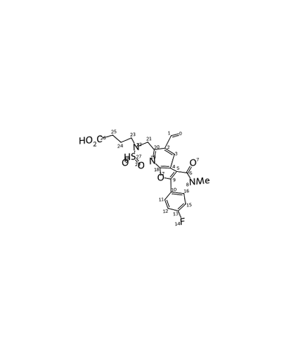 C=Cc1cc2c(C(=O)NC)c(-c3ccc(F)cc3)oc2nc1CN(CCCC(=O)O)[SH](=O)=O